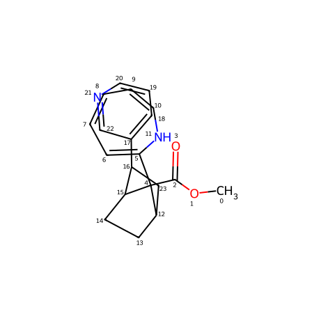 COC(=O)C1(C2=CC=CC=CN2)C2CCC1C(c1cccnc1)C2